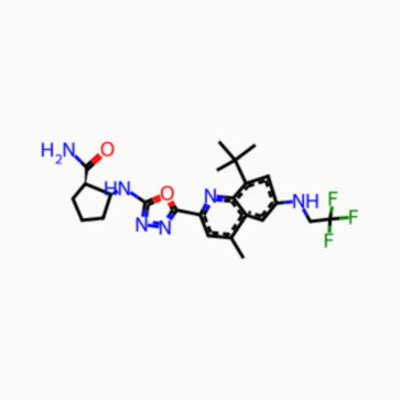 Cc1cc(-c2nnc(N[C@H]3CCC[C@H]3C(N)=O)o2)nc2c(C(C)(C)C)cc(NCC(F)(F)F)cc12